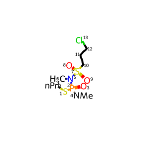 CCCSP(=O)(NC)N(C)S(=O)(=O)CCCCl